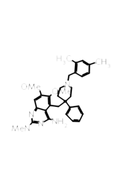 CNc1nc(N)c2c(CC3(c4ccccc4)CCN(Cc4ccc(C)cc4C)CC3)c(OC)c(OC)cc2n1